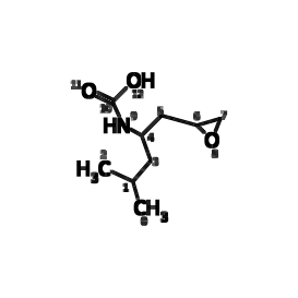 CC(C)CC(CC1CO1)NC(=O)O